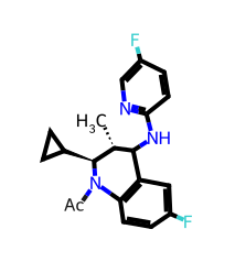 CC(=O)N1c2ccc(F)cc2C(Nc2ccc(F)cn2)[C@@H](C)[C@@H]1C1CC1